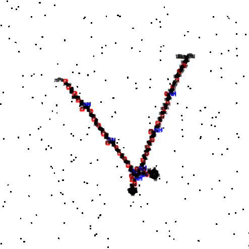 CCCOCCOCCOCCOCCNC(=O)CCOCCOCCOCCOCCNC(=O)CCOCCOCCOCCOCCNC(=O)[C@H](NC(=O)OCc1ccccc1)[C@@H](NC(=O)OCc1ccccc1)C(=O)NCCOCCOCCOCCOCCC(=O)NCCOCCOCCOCCOCCC(=O)NCCOCCOCCOCCOCCC(C(C)(C)C)C(C)(C)C